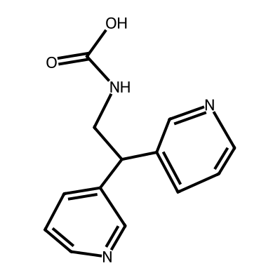 O=C(O)NCC(c1cccnc1)c1cccnc1